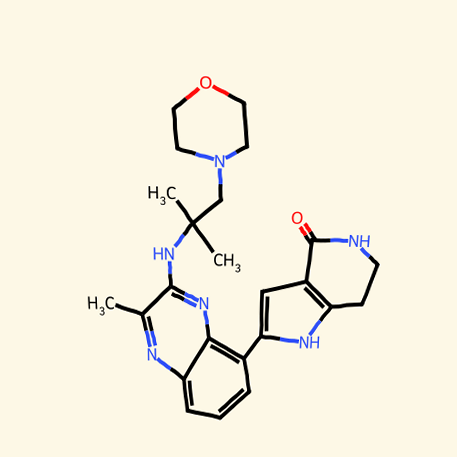 Cc1nc2cccc(-c3cc4c([nH]3)CCNC4=O)c2nc1NC(C)(C)CN1CCOCC1